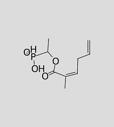 C=CCC=C(C)C(=O)OC(C)[PH](=O)O